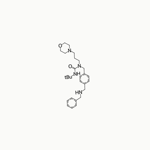 CC(C)(C)NC(=O)N(CCCN1CCOCC1)Cc1ccc(CNCc2ccccc2)cc1